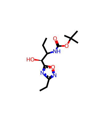 CCc1noc([C@@H](O)C(CC)NC(=O)OC(C)(C)C)n1